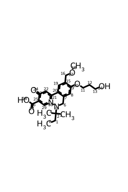 CCC(C)(C)N1Cc2cc(OCCCO)c(COC)cc2-c2cc(=O)c(C(=O)O)cn21